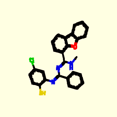 CN/C(=N\C(=N/c1cc(Cl)ccc1S)c1ccccc1)c1cccc2c1oc1ccccc12